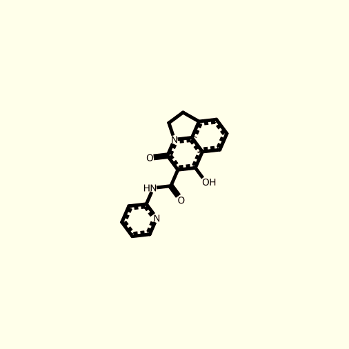 O=C(Nc1ccccn1)c1c(O)c2cccc3c2n(c1=O)CC3